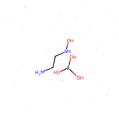 NCCNO.OB(O)O